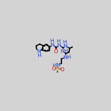 CC1CC(NCCNS(C)(=O)=O)NC(NC(=O)Nc2ccc3c(c2)CCCN3)N1